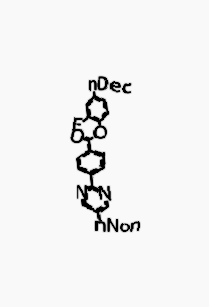 CCCCCCCCCCc1ccc(OC(=O)c2ccc(-c3ncc(CCCCCCCCC)cn3)cc2)c(F)c1